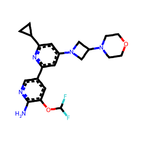 Nc1ncc(-c2cc(N3CC(N4CCOCC4)C3)cc(C3CC3)n2)cc1OC(F)F